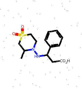 CC1CS(=O)(=O)CCN1NC(CC(=O)O)c1ccccc1